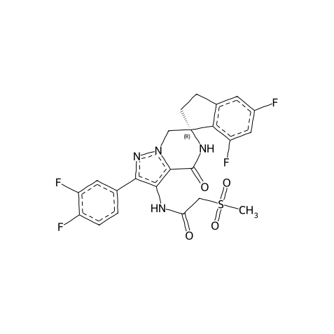 CS(=O)(=O)CC(=O)Nc1c(-c2ccc(F)c(F)c2)nn2c1C(=O)N[C@@]1(CCc3cc(F)cc(F)c31)C2